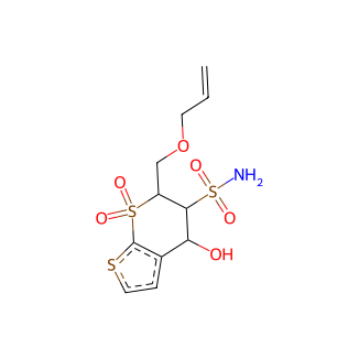 C=CCOCC1C(S(N)(=O)=O)C(O)c2ccsc2S1(=O)=O